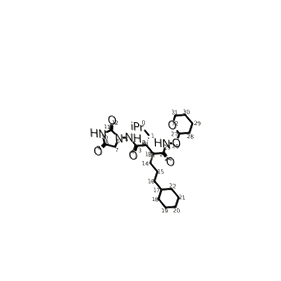 CC(C)C[C@@H](C(=O)NN1CC(=O)NC1=O)[C@H](CCCC1CCCCC1)C(=O)NOC1CCCCO1